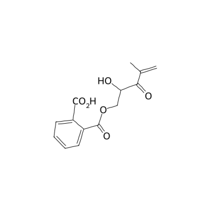 C=C(C)C(=O)C(O)COC(=O)c1ccccc1C(=O)O